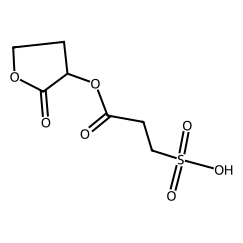 O=C(CCS(=O)(=O)O)OC1CCOC1=O